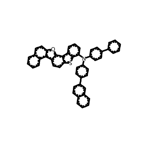 c1ccc(-c2ccc(N(c3ccc(-c4ccc5ccccc5c4)cc3)c3cccc4c3sc3ccc5c(oc6ccc7ccccc7c65)c34)cc2)cc1